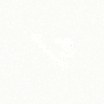 CCCCCCCCCCCCCCCC/C=C/N=C1/SCCN1C(=S)Nc1cccc(Cl)c1